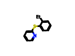 [CH2]Cc1ccccc1Sc1ccccn1